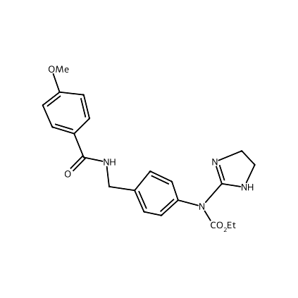 CCOC(=O)N(C1=NCCN1)c1ccc(CNC(=O)c2ccc(OC)cc2)cc1